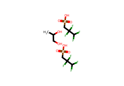 CC(O)CO.O=S(=O)(O)CC(F)(F)C(F)F.O=S(=O)(O)CC(F)(F)C(F)F